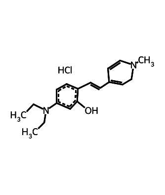 CCN(CC)c1ccc(/C=C/C2=CCN(C)C=C2)c(O)c1.Cl